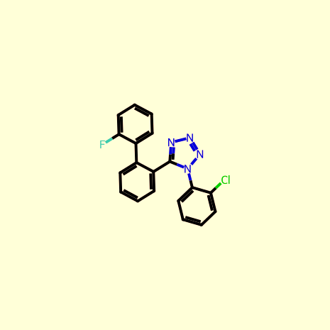 Fc1ccccc1-c1ccccc1-c1nnnn1-c1ccccc1Cl